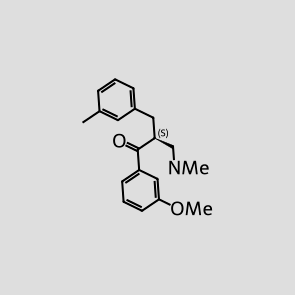 CNC[C@H](Cc1cccc(C)c1)C(=O)c1cccc(OC)c1